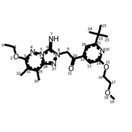 CCOc1nn2c(=N)n(CC(=O)c3cc(OCCOC)nc(C(C)(C)C)c3)nc2c(C)c1C